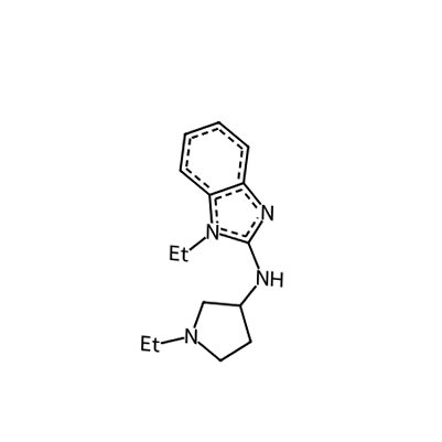 CCN1CCC(Nc2nc3ccccc3n2CC)C1